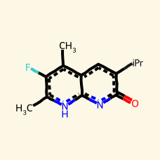 Cc1[nH]c2nc(=O)c(C(C)C)cc-2c(C)c1F